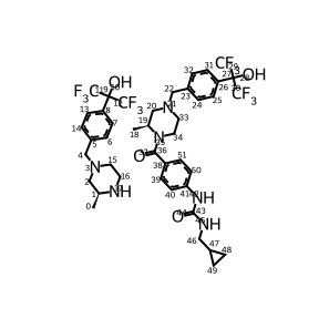 C[C@H]1CN(Cc2ccc(C(O)(C(F)(F)F)C(F)(F)F)cc2)CCN1.C[C@H]1CN(Cc2ccc(C(O)(C(F)(F)F)C(F)(F)F)cc2)CCN1C(=O)c1ccc(NC(=O)NCC2CC2)cc1